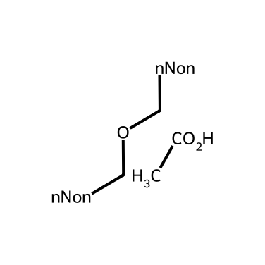 CC(=O)O.CCCCCCCCCCOCCCCCCCCCC